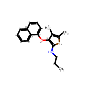 CCCNc1sc(C)c(C)c1Oc1cccc2ccccc12